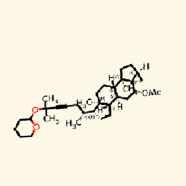 CO[C@@H]1C[C@H]2[C@@H]3CC[C@H]([C@H](C)CC#CC(C)(C)OC4CCCCO4)[C@@]3(C)CC[C@@H]2[C@@]2(C)CC[C@H]3C[C@]312